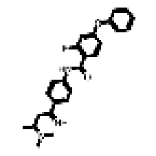 CC(CC(=N)c1ccc(NC(=O)c2ccc(Oc3ccccc3)cc2F)cc1)N(C)C